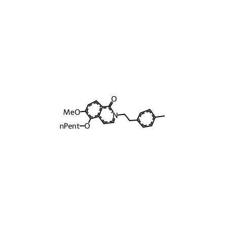 CCCCCOc1c(OC)ccc2c(=O)n(CCc3ccc(C)cc3)ccc12